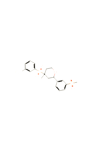 CC1(S(=O)(=O)c2cccc(C(F)(F)F)c2)CCOC(c2cccc(S(C)(=O)=O)c2)C1